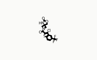 O=C1NC2(CO1)CN(C(=O)c1sc3ccc(C(F)(F)F)cc3c1Cl)C2